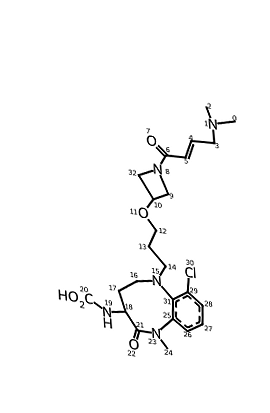 CN(C)CC=CC(=O)N1CC(OCCCN2CCC(NC(=O)O)C(=O)N(C)c3cccc(Cl)c32)C1